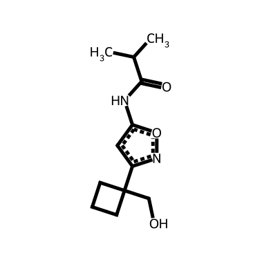 CC(C)C(=O)Nc1cc(C2(CO)CCC2)no1